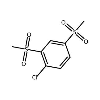 CS(=O)(=O)c1ccc(Cl)c(S(C)(=O)=O)c1